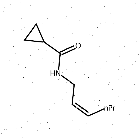 CCC/C=C\CNC(=O)C1CC1